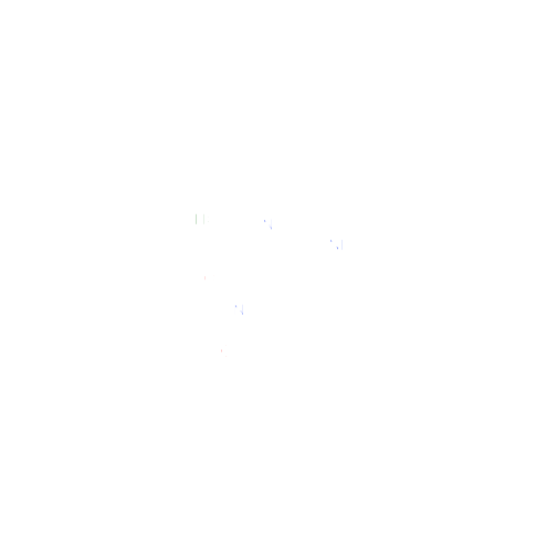 Cl.O=[N+]([O-])C=C1NCCN1